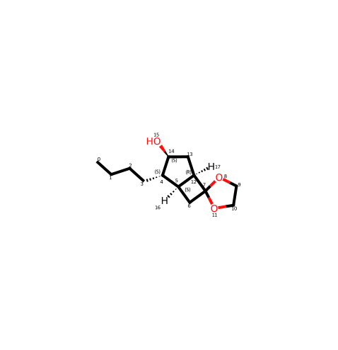 CCCC[C@H]1[C@@H]2CC3(OCCO3)[C@@H]2C[C@@H]1O